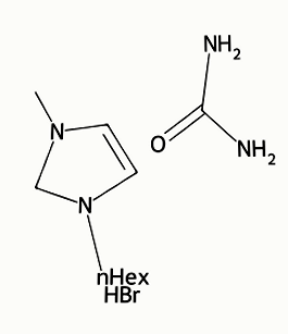 Br.CCCCCCN1C=CN(C)C1.NC(N)=O